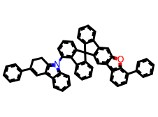 C1=C(c2ccccc2)CCc2c1c1ccccc1n2-c1cccc2c1-c1ccccc1C21c2ccccc2-c2cc3oc4c(-c5ccccc5)cccc4c3cc21